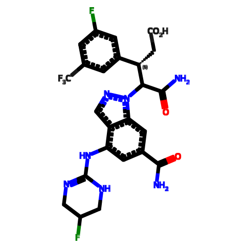 NC(=O)c1cc(NC2=NCC(F)CN2)c2cnn(C(C(N)=O)[C@@H](CC(=O)O)c3cc(F)cc(C(F)(F)F)c3)c2c1